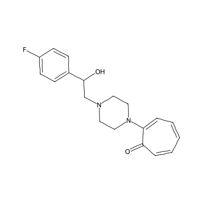 O=c1cccccc1N1CCN(CC(O)c2ccc(F)cc2)CC1